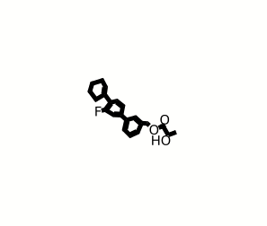 CC(O)C(=O)OCc1cccc(-c2ccc(C3=CCCCC3)c(F)c2)c1